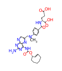 CN(Cc1cnc2nc(N)nc(NC(=O)OC3/C=C/CCCCC3)c2n1)c1ccc(C(=O)N[C@@H](CCC(=O)O)C(=O)O)cc1